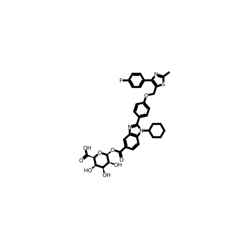 Cc1nc(-c2ccc(F)cc2)c(COc2ccc(-c3nc4cc(C(=O)O[C@@H]5O[C@H](C(=O)O)[C@H](O)[C@H](O)[C@@H]5O)ccc4n3C3CCCCC3)cc2)s1